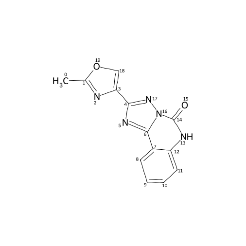 Cc1nc(-c2nc3c4ccccc4[nH]c(=O)n3n2)co1